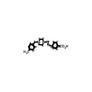 Cc1ccc(CN2CCN(N=Nc3ccc(C(=O)O)cc3)CC2)cc1